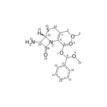 COCC1=C(C(=O)OC(OC)c2ccccc2)N2C(=O)C(N)[C@@H]2SC1